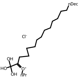 CCCCCCCCCCCCCCCCCCCCCCC(=[O+]CCC)C(O)(O)O.[Cl-]